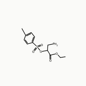 CCOC(=O)C(CP)OS(=O)(=O)c1ccc(C)cc1